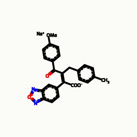 COc1ccc(C(=O)C(Cc2ccc(C)cc2)=C(C(=O)[O-])c2ccc3nonc3c2)cc1.[Na+]